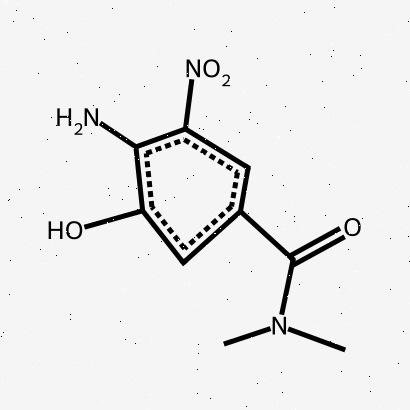 CN(C)C(=O)c1cc(O)c(N)c([N+](=O)[O-])c1